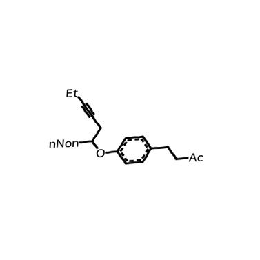 CCC#CCC(CCCCCCCCC)Oc1ccc(CCC(C)=O)cc1